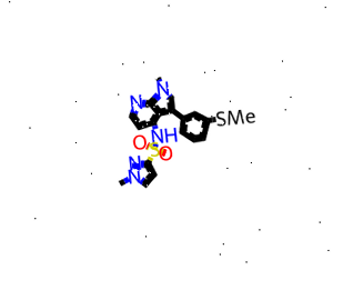 CSc1cccc(-c2cn(C)c3nccc(NS(=O)(=O)c4ccn(C)n4)c23)c1